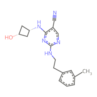 Cc1cccc(CCNc2ncc(C#N)c(N[C@H]3C[C@@H](O)C3)n2)c1